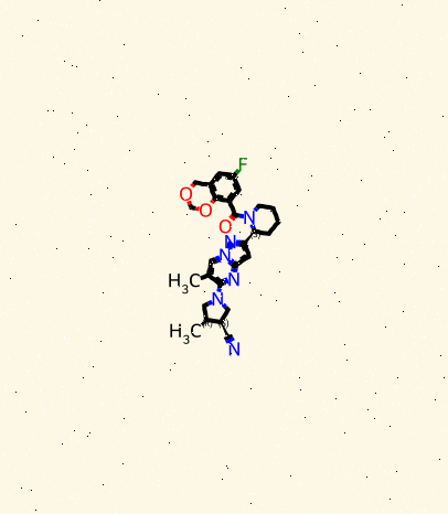 Cc1cn2nc([C@@H]3CCCCN3C(=O)c3cc(F)cc4c3OCOC4)cc2nc1N1C[C@@H](C#N)[C@@H](C)C1